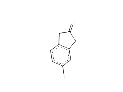 O=C1Cc2ccc(I)cc2C1